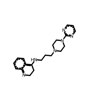 c1cnc(N2CCN(CCCNC3=c4ccccc4=NCC3)CC2)nc1